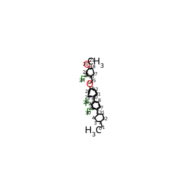 CCC1CCC(c2ccc(-c3ccc(OCC4CCC(OC)C=C4F)cc3)c(F)c2F)CC1